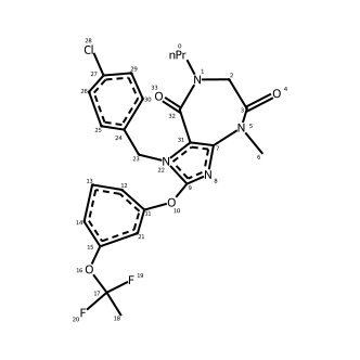 CCCN1CC(=O)N(C)c2nc(Oc3cccc(OC(C)(F)F)c3)n(Cc3ccc(Cl)cc3)c2C1=O